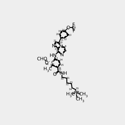 Cc1cc(Nc2nccn3c(-c4ccc(OC(F)F)cc4)cnc23)ccc1C(=O)NCCCCCC[N+](C)(C)C.O=C[O-]